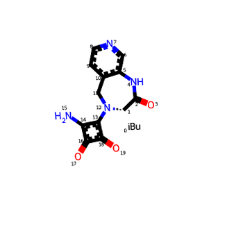 CC[C@H](C)[C@H]1C(=O)Nc2cnccc2CN1c1c(N)c(=O)c1=O